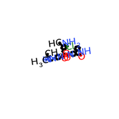 C#Cc1cc(C[C@@H](OC(=O)N2CCC3(CC2)CC(=O)Nc2ccccc23)C(=O)N2CCC(N/C=C\N(C)CC=C)CC2)cc(Cl)c1N